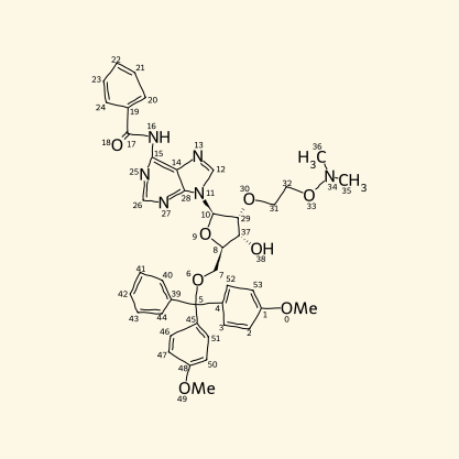 COc1ccc(C(OC[C@H]2O[C@@H](n3cnc4c(NC(=O)c5ccccc5)ncnc43)[C@H](OCCON(C)C)[C@@H]2O)(c2ccccc2)c2ccc(OC)cc2)cc1